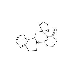 O=C1CCCC2=C1C1(CC3c4ccccc4CCN23)SCCS1